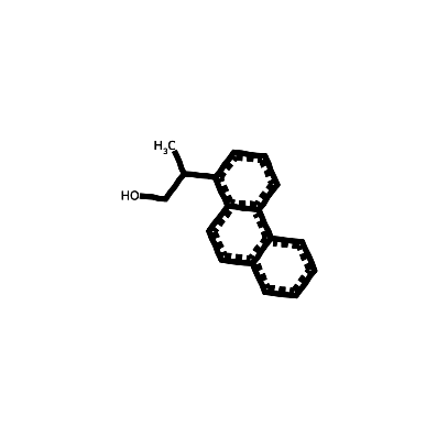 CC(CO)c1cccc2c1ccc1ccccc12